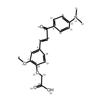 COc1cc(C=CC(=O)c2ccc(N(C)C)cc2)ccc1OCC(=O)O